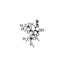 CC(C)(C)OC(=O)N(C(=O)OC(C)(C)C)[C@@H](CN=C=O)C(=O)O